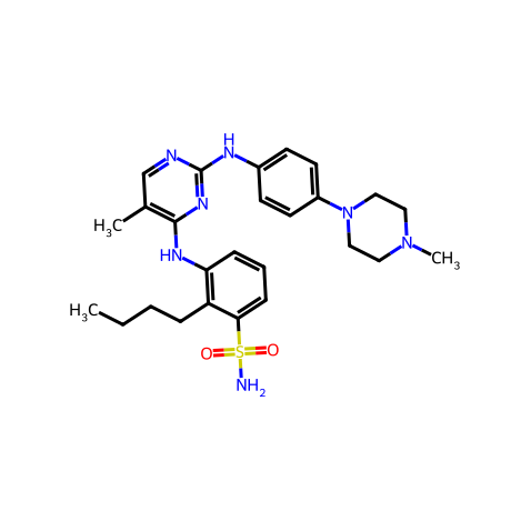 CCCCc1c(Nc2nc(Nc3ccc(N4CCN(C)CC4)cc3)ncc2C)cccc1S(N)(=O)=O